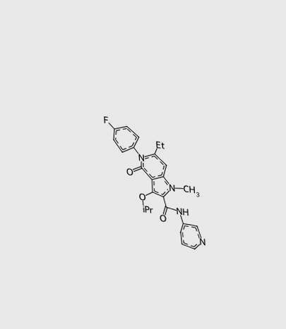 CCc1cc2c(c(OC(C)C)c(C(=O)Nc3cccnc3)n2C)c(=O)n1-c1ccc(F)cc1